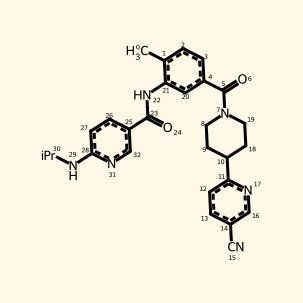 Cc1ccc(C(=O)N2CCC(c3ccc(C#N)cn3)CC2)cc1NC(=O)c1ccc(NC(C)C)nc1